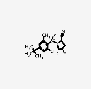 Cc1cc(C(C)(C)C)cc(C)c1[S+]([O-])N1C[C@H](F)C[C@@H]1C#N